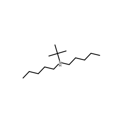 CCCCC[SiH](CCCCC)C(C)(C)C